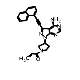 C=CC(=O)N1CCC(n2nc(C#Cc3cccc4ccccc34)c3c(N)ncnc32)C1